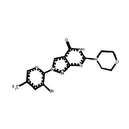 CC(C)c1cc(C(F)(F)F)cnc1-n1cc2c(=O)[nH]c(N3CCOCC3)nc2n1